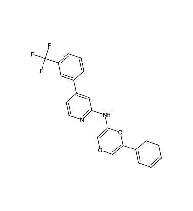 FC(F)(F)c1cccc(-c2ccnc(NC3=COC=C(C4=CC=CCC4)O3)c2)c1